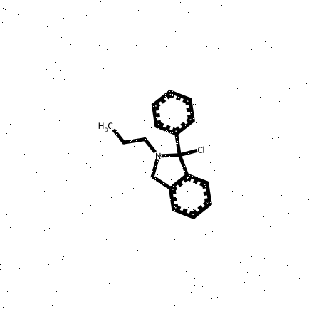 CCCN1Cc2ccccc2C1(Cl)c1ccccc1